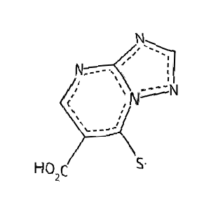 O=C(O)c1cnc2ncnn2c1[S]